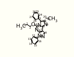 CCCOC1=Nc2c(cnn2-c2ccccc2)C2=N[C@@H](CC)C(c3ccccc3)N12